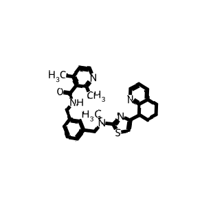 Cc1ccnc(C)c1C(=O)NCc1cccc(CN(C)c2nc(C3CCCc4cccnc43)cs2)c1